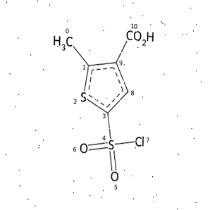 Cc1sc(S(=O)(=O)Cl)cc1C(=O)O